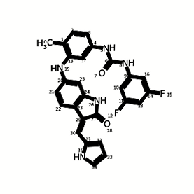 Cc1ccc(NC(=O)Nc2cc(F)cc(F)c2)cc1Nc1ccc2c(c1)NC(=O)C2=Cc1ccc[nH]1